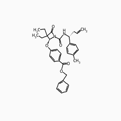 C=CC[C@@H](NC(=O)N1C(=O)C(CC)(CC)[C@@H]1Oc1ccc(C(=O)OCc2ccccc2)cc1)c1ccc(C)cc1